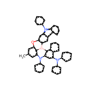 Cc1cc2c3c(c1)N(c1ccccc1)c1cc(N(c4ccccc4)c4ccccc4)c4ccccc4c1B3c1cc3c4ccccc4n(-c4ccccc4)c3cc1O2